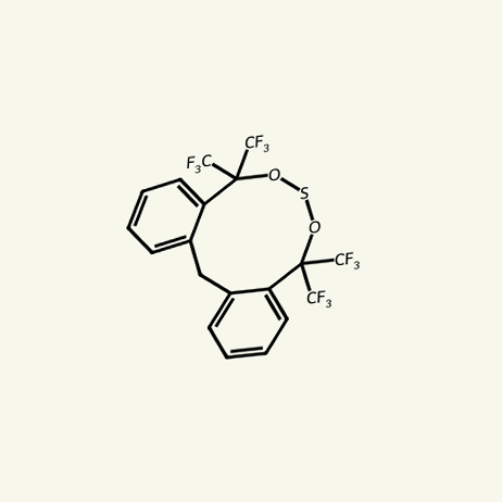 FC(F)(F)C1(C(F)(F)F)OSOC(C(F)(F)F)(C(F)(F)F)c2ccccc2Cc2ccccc21